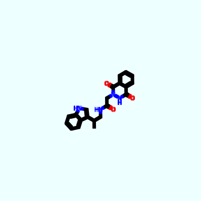 CC(CNC(=O)Cn1[nH]c(=O)c2ccccc2c1=O)c1c[nH]c2ccccc12